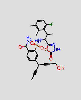 CC#CC(C#CCO)c1ccc(C(N)=O)c(S(=O)(=O)NC(c2n[nH]c(=O)o2)C(C)c2c(F)ccc(C)c2C)c1